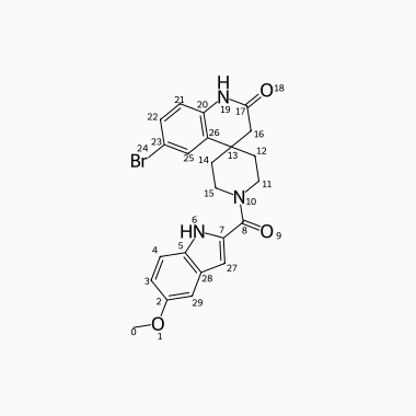 COc1ccc2[nH]c(C(=O)N3CCC4(CC3)CC(=O)Nc3ccc(Br)cc34)cc2c1